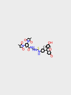 CC1=CC(=O)N(c2cc(C(=O)NCCNC(=S)Nc3ccc(-c4c5ccc(=O)cc-5oc5cc(O)ccc45)c(C(=O)O)c3)cc(N3C(=O)C=C(C)C3=O)c2)C1=O